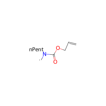 [CH2]N(CCCCC)C(=O)OCC=C